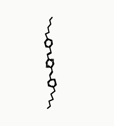 CCCCCCc1ccc(/C=C/c2cnc(/C=C/c3ccc(CCCCCC)cc3)cn2)cc1